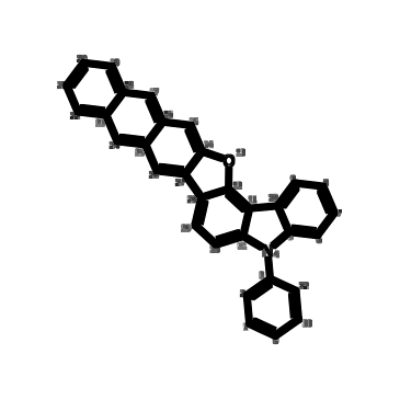 c1ccc(-n2c3ccccc3c3c4oc5cc6cc7ccccc7cc6cc5c4ccc32)cc1